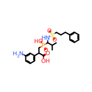 CC(C)C(NS(=O)(=O)CCCc1ccccc1)P(=O)(O)CC(C(=O)O)c1cccc(N)c1